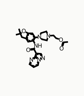 CC(=O)OCCN1CCN(c2cc3c(cc2NC(=O)c2cnn4cccnc24)CC(C)(C)O3)CC1